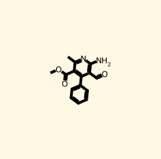 COC(=O)c1c(C)nc(N)c(C=O)c1-c1ccccc1